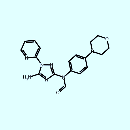 Nc1nc(N(C=O)c2ccc(N3CCOCC3)cc2)nn1-c1ccccn1